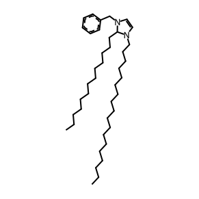 CCCCCCCCCCCCCCCCCCN1C=CN(Cc2ccccc2)C1CCCCCCCCCCCCC